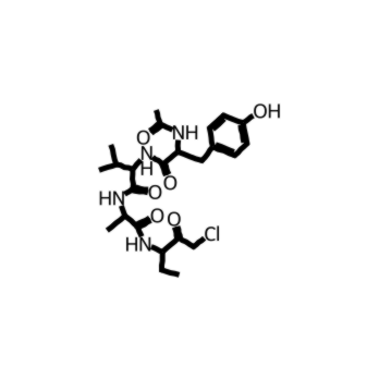 CCC(NC(=O)C(C)NC(=O)C(NC(=O)C(Cc1ccc(O)cc1)NC(C)=O)C(C)C)C(=O)CCl